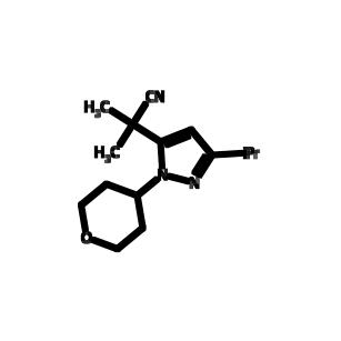 CC(C)c1cc(C(C)(C)C#N)n(C2CCOCC2)n1